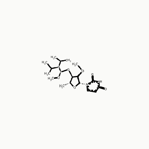 COC1C(OP(OC)N(C(C)C)C(C)C)[C@@H](C)O[C@H]1n1ccc(=O)[nH]c1=O